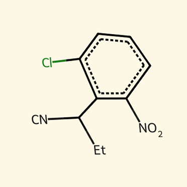 [C-]#[N+]C(CC)c1c(Cl)cccc1[N+](=O)[O-]